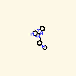 c1cc(CNC2=Nc3ccccc3NC23CCNCC3)cc(N2CCCC2)c1